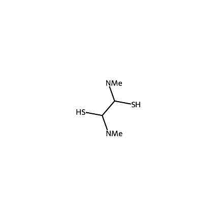 CNC(S)C(S)NC